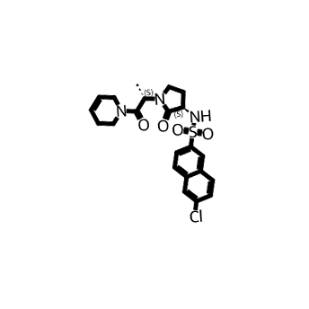 C[C@@H](C(=O)N1CC=CCC1)N1CC[C@H](NS(=O)(=O)c2ccc3cc(Cl)ccc3c2)C1=O